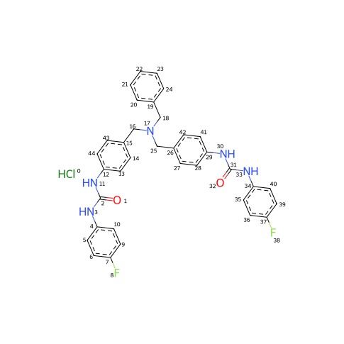 Cl.O=C(Nc1ccc(F)cc1)Nc1ccc(CN(Cc2ccccc2)Cc2ccc(NC(=O)Nc3ccc(F)cc3)cc2)cc1